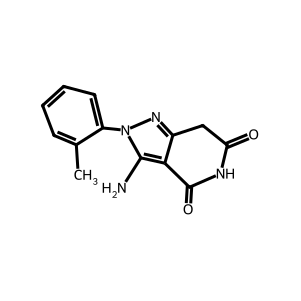 Cc1ccccc1-n1nc2c(c1N)C(=O)NC(=O)C2